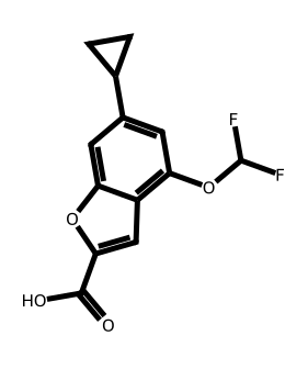 O=C(O)c1cc2c(OC(F)F)cc(C3CC3)cc2o1